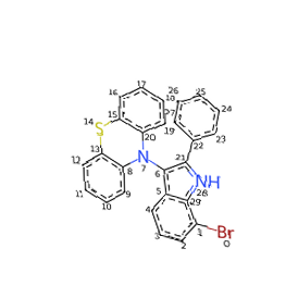 Brc1cccc2c(N3c4ccccc4Sc4ccccc43)c(-c3ccccc3)[nH]c12